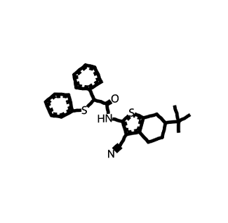 CC(C)(C)C1CCc2c(sc(NC(=O)C(Sc3ccccc3)c3ccccc3)c2C#N)C1